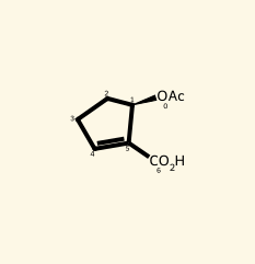 CC(=O)O[C@@H]1CCC=C1C(=O)O